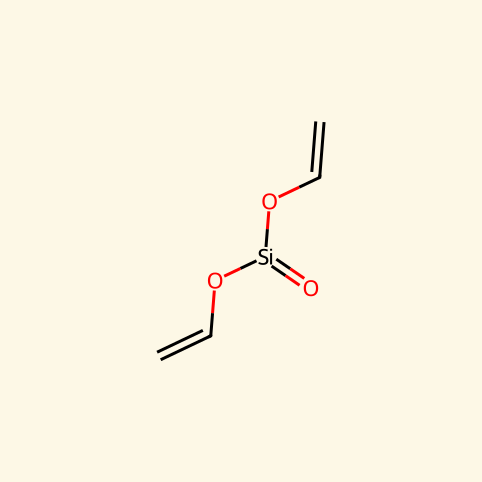 C=CO[Si](=O)OC=C